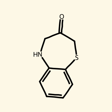 O=C1CNc2ccccc2SC1